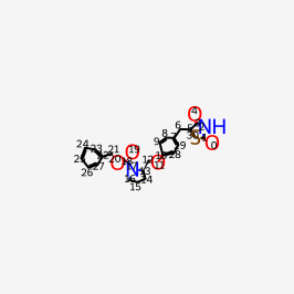 O=C1NC(=O)C(Cc2ccc(OC[C@H]3CCCN3C(=O)OCc3ccccc3)cc2)S1